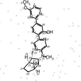 COc1ncnc(-c2ccc(-c3cnc(N(C)[C@@H]4C[C@H]5CC[C@H](N5)[C@@H]4F)cn3)c(O)c2)n1